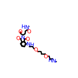 CNCCCOCCCCOCCCNc1cccc2c1C(=O)N(C(C=O)CCC(=O)NC)C2=O